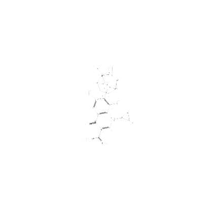 CC12CCCC(CN1)N(c1c(F)cc3c(=O)c(C(=O)O)cn(C4CC4)c3c1F)C2